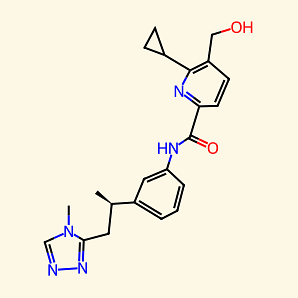 C[C@H](Cc1nncn1C)c1cccc(NC(=O)c2ccc(CO)c(C3CC3)n2)c1